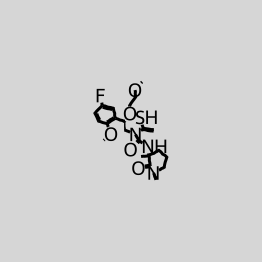 C=C(S)N(C[C@H](OCCOC)c1cc(F)ccc1OC)C(=O)NC1(C)CCCN(C)C1=O